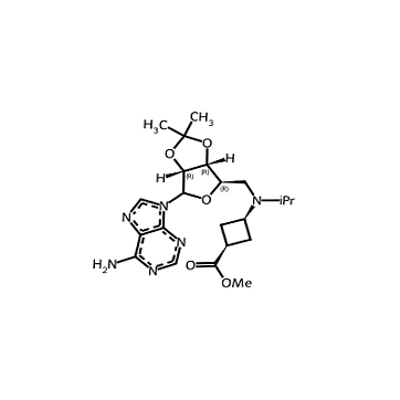 COC(=O)[C@H]1C[C@@H](N(C[C@H]2OC(n3cnc4c(N)ncnc43)[C@@H]3OC(C)(C)O[C@H]23)C(C)C)C1